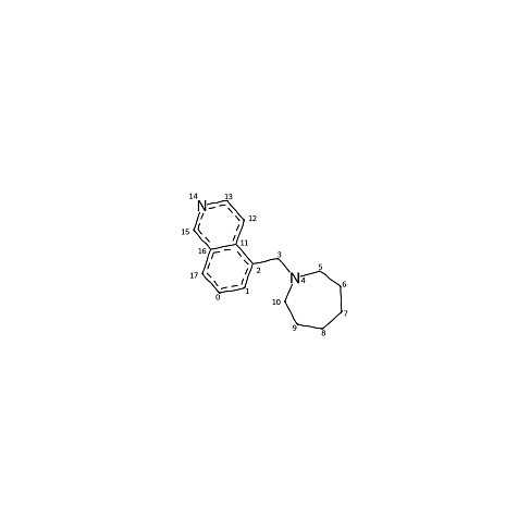 c1cc(CN2CCCCCC2)c2ccncc2c1